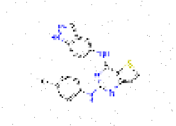 FC(F)(F)c1ccc(Nc2nc(Nc3ccc4[nH]ncc4c3)c3sccc3n2)cc1